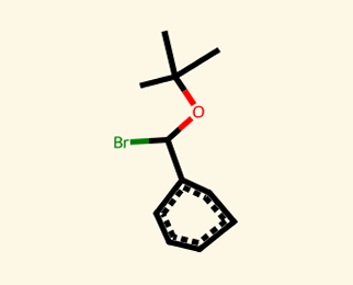 CC(C)(C)OC(Br)c1ccccc1